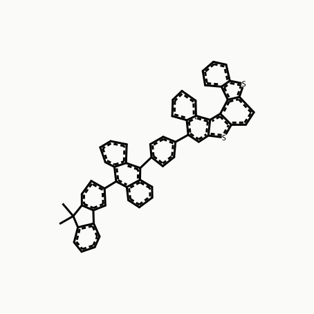 CC1(C)c2ccccc2-c2cc(-c3c4ccccc4c(-c4ccc(-c5cc6sc7ccc8sc9ccccc9c8c7c6c6ccccc56)cc4)c4ccccc34)ccc21